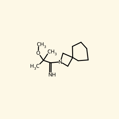 COC(C)(C)C(=N)N1CC2(CCCCC2)C1